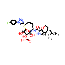 CC(C)C[C@@H]1CCO[C@@H]2[C@H](CN[C@@H]2C(=O)N[C@@H]2C/C=C\C[C@@H](c3cn(-c4ccc(F)cc4)nn3)S[C@H]3O[C@H]2[C@H](O)[C@H](O)[C@H]3O)C1.O=CO